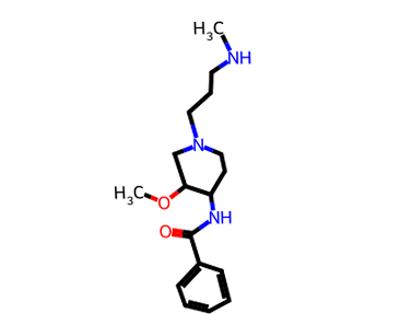 CNCCCN1CCC(NC(=O)c2ccccc2)C(OC)C1